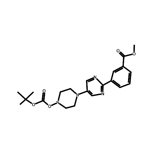 COC(=O)c1cccc(-c2ncc(N3CCN(OC(=O)OC(C)(C)C)CC3)cn2)c1